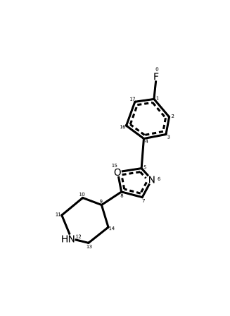 Fc1ccc(-c2ncc(C3CCNCC3)o2)cc1